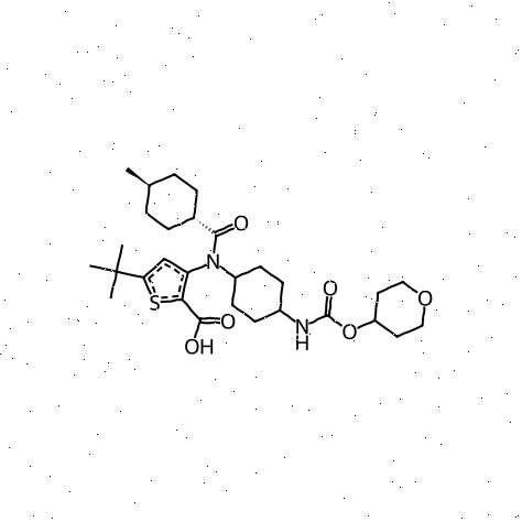 CC(C)(C)c1cc(N(C(=O)[C@H]2CC[C@H](C)CC2)C2CCC(NC(=O)OC3CCOCC3)CC2)c(C(=O)O)s1